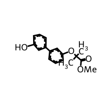 COC(=O)C(C)(C)Oc1cccc(-c2cccc(O)c2)c1